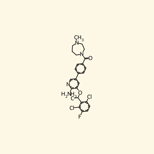 CC(Oc1cc(-c2ccc(C(=O)N3CCCN(C)CC3)cc2)cnc1N)c1c(Cl)ccc(F)c1Cl